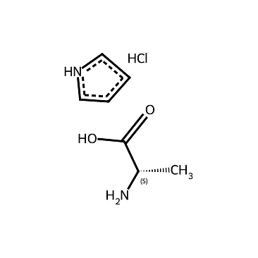 C[C@H](N)C(=O)O.Cl.c1cc[nH]c1